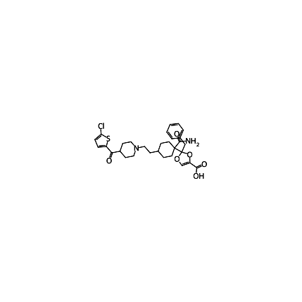 NC(=O)C1(C2(Cc3ccccc3)OC=C(C(=O)O)O2)CCC(CCN2CCC(C(=O)c3ccc(Cl)s3)CC2)CC1